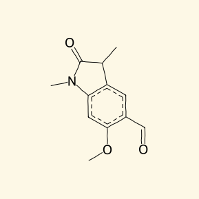 COc1cc2c(cc1C=O)C(C)C(=O)N2C